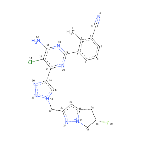 Cc1c(C#N)cccc1-c1nc(N)c(Cl)c(-c2cn(Cc3cc4n(n3)C[C@@H](F)C4)nn2)n1